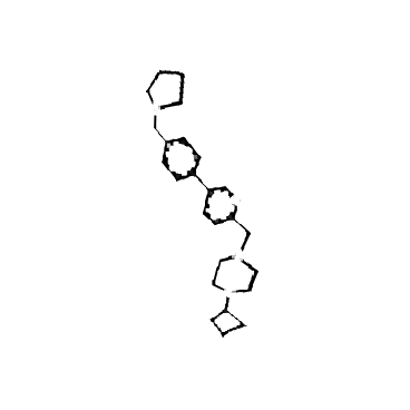 c1cc(-c2ccc(CN3CCN(C4CCC4)CC3)nc2)ccc1CN1CCCC1